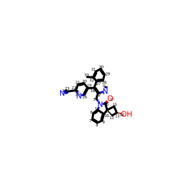 C=N/C(CN1c2ccccc2[C@]2(C[C@H](O)C2)C1=O)=C(/c1ccc(C#N)nc1)c1ccccc1C